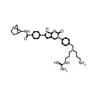 N=C(N)NCCCN(CCCN)Cc1ccc(-n2cc3cc(-c4ccc(C(=O)NC5C6CCN7CC657)cc4)[nH]c3nc2=O)cc1